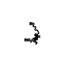 CC/C=C\C/C=C\C/C=C\C/C=C\C/C=C\C/C=C\CCC(=O)NCC(=O)Oc1cc(CF)ccc1C(=O)OCC